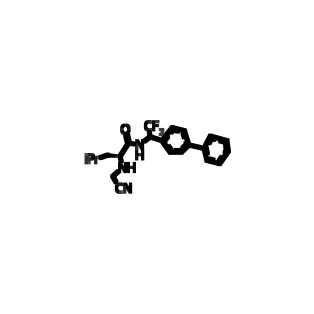 CC(C)C[C@H](NCC#N)C(=O)NC(c1ccc(-c2ccccc2)cc1)C(F)(F)F